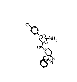 CN1N=C2CCN(C(=O)C(COc3ccc(Cl)cc3)OC(N)=O)C[C@@]2(Cc2ccccc2)C1=O